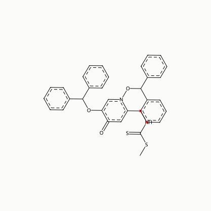 CSC(=S)NCc1cc(=O)c(OC(c2ccccc2)c2ccccc2)cn1OC(c1ccccc1)c1ccccc1